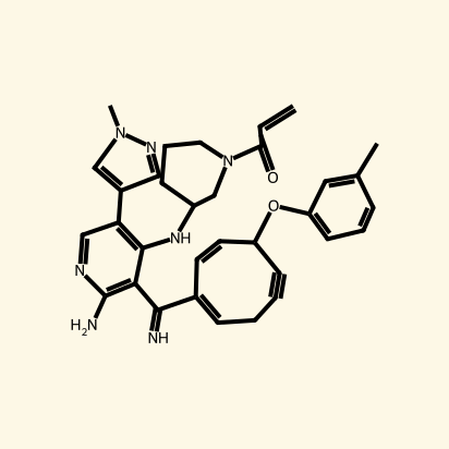 C=CC(=O)N1CCCC(Nc2c(-c3cnn(C)c3)cnc(N)c2C(=N)C2=C/CC#CC(Oc3cccc(C)c3)/C=C\2)C1